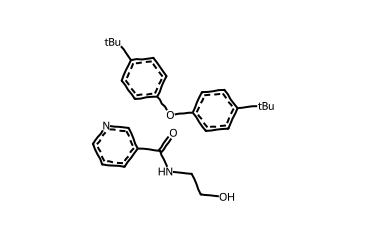 CC(C)(C)c1ccc(Oc2ccc(C(C)(C)C)cc2)cc1.O=C(NCCO)c1cccnc1